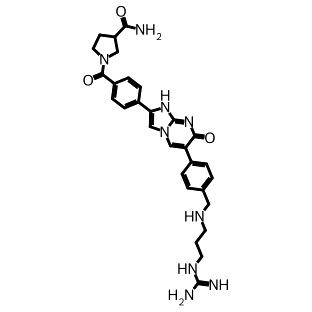 N=C(N)NCCCNCc1ccc(-c2cn3cc(-c4ccc(C(=O)N5CCC(C(N)=O)C5)cc4)[nH]c3nc2=O)cc1